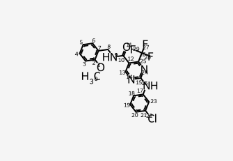 COc1ccccc1CNC(=O)c1cnc(Nc2cccc(Cl)c2)nc1C(F)(F)F